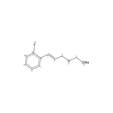 COCOCC=Cc1ccccc1F